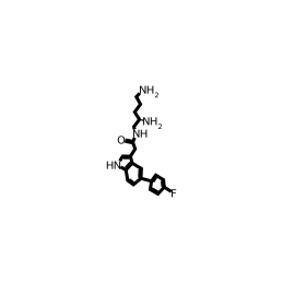 NCCC[C@H](N)CNC(=O)Cc1c[nH]c2ccc(-c3ccc(F)cc3)cc12